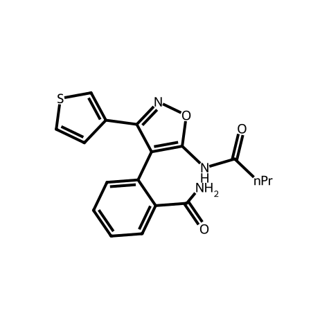 CCCC(=O)Nc1onc(-c2ccsc2)c1-c1ccccc1C(N)=O